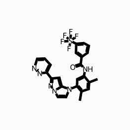 Cc1cc(C)c(-n2ccn3nc(-c4cccnn4)cc23)cc1NC(=O)c1cccc(S(F)(F)(F)(F)F)c1